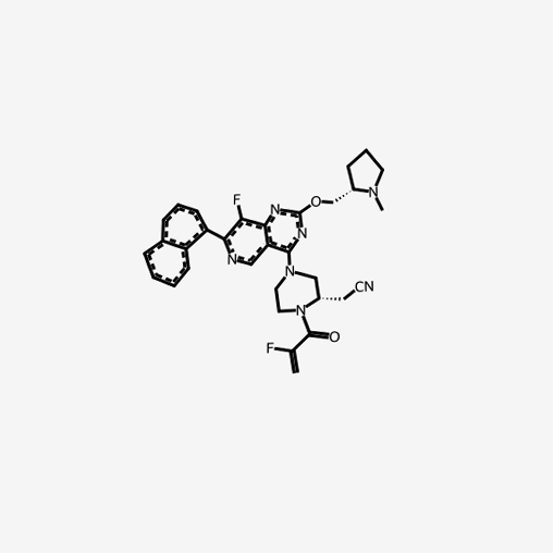 C=C(F)C(=O)N1CCN(c2nc(OC[C@@H]3CCCN3C)nc3c(F)c(-c4cccc5ccccc45)ncc23)C[C@@H]1CC#N